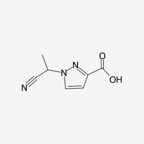 CC(C#N)n1ccc(C(=O)O)n1